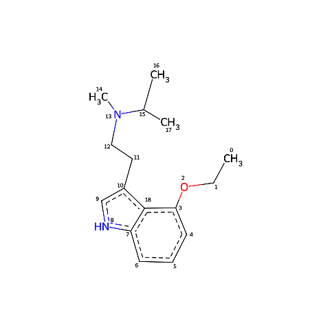 CCOc1cccc2[nH]cc(CCN(C)C(C)C)c12